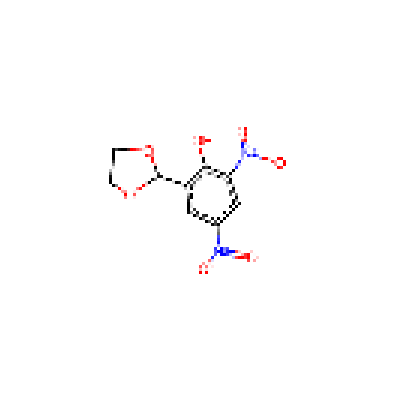 O=[N+]([O-])c1cc(C2OCCO2)c(O)c([N+](=O)[O-])c1